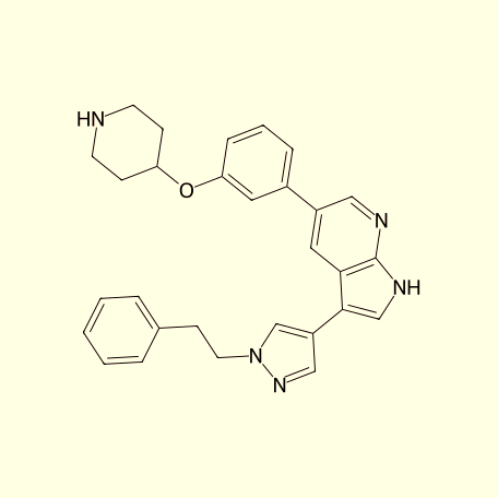 c1ccc(CCn2cc(-c3c[nH]c4ncc(-c5cccc(OC6CCNCC6)c5)cc34)cn2)cc1